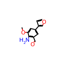 COc1cc(-c2ccoc2)cc(C=O)c1N